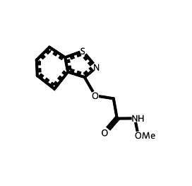 CONC(=O)COc1nsc2ccccc12